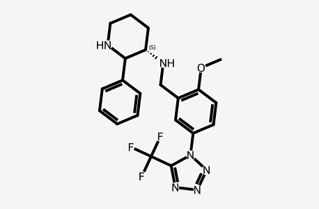 COc1ccc(-n2nnnc2C(F)(F)F)cc1CN[C@H]1CCCNC1c1ccccc1